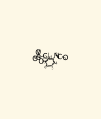 O=C=Nc1cccc(OS(=O)(=O)Cl)c1